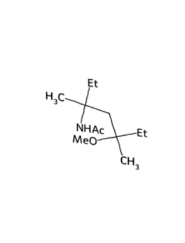 CCC(C)(CC(C)(CC)OC)NC(C)=O